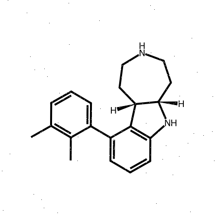 Cc1cccc(-c2cccc3c2[C@@H]2CCNCC[C@@H]2N3)c1C